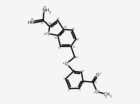 COC(=O)c1cccc(OCc2ccc3cc(C(=N)N)sc3c2)c1